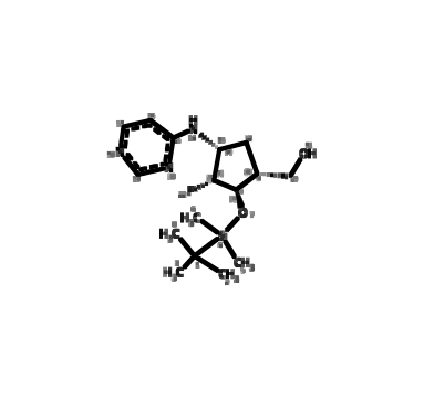 CC(C)(C)[Si](C)(C)O[C@@H]1[C@@H](CO)C[C@@H](Nc2[c]cncn2)[C@H]1F